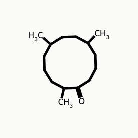 CC1CCCC(=O)C(C)CCCC(C)CC1